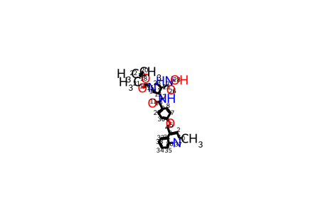 Cc1cc(COc2ccc(C(=O)N[C@H]3CN(C(=O)OC(C)(C)C)C[C@H]3C(=O)NO)cc2)c2ccccc2n1